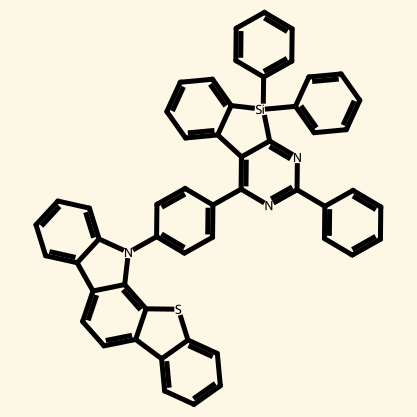 c1ccc(-c2nc(-c3ccc(-n4c5ccccc5c5ccc6c7ccccc7sc6c54)cc3)c3c(n2)[Si](c2ccccc2)(c2ccccc2)c2ccccc2-3)cc1